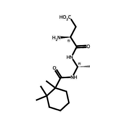 C[C@@H](NC(=O)[C@@H](N)CC(=O)O)NC(=O)C1(C)CCCCC1(C)C